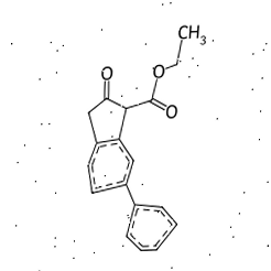 CCOC(=O)C1C(=O)Cc2ccc(-c3ccccc3)cc21